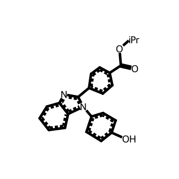 CC(C)OC(=O)c1ccc(-c2nc3ccccc3n2-c2ccc(O)cc2)cc1